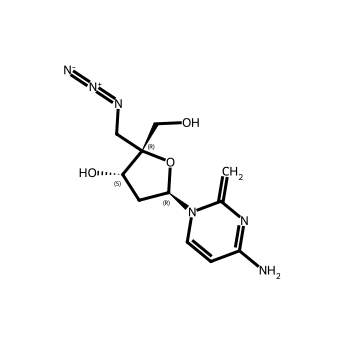 C=C1N=C(N)C=CN1[C@H]1C[C@H](O)[C@](CO)(CN=[N+]=[N-])O1